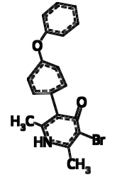 Cc1[nH]c(C)c(-c2ccc(Oc3ccccc3)cc2)c(=O)c1Br